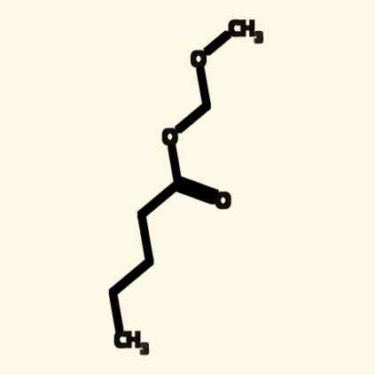 CCCCC(=O)OCOC